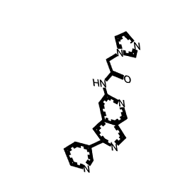 O=C(Cn1ccnc1)Nc1cc2cc(-c3cccnc3)ncc2cn1